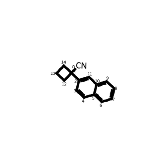 N#CC1(c2ccc3ccccc3c2)CCC1